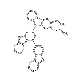 C=C/C=c1/cc2c(c/c1=C/C)c1ccccc1n2-c1cc(-c2ccc3sc4ccccc4c3c2)c2c(c1)oc1ccccc12